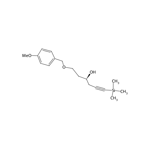 COc1ccc(COCC[C@@H](O)CC#C[Si](C)(C)C)cc1